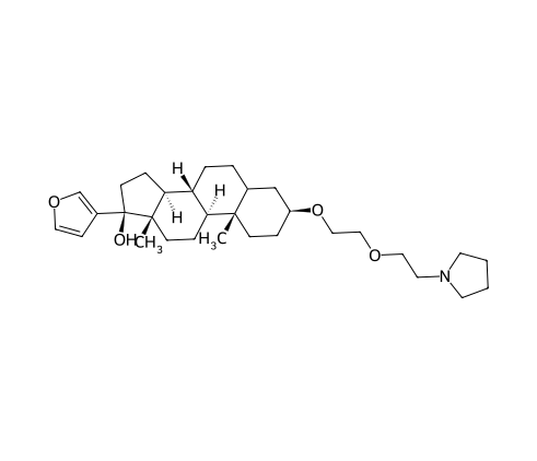 C[C@]12CC[C@H](OCCOCCN3CCCC3)CC1CC[C@@H]1[C@@H]2CC[C@@]2(C)[C@H]1CC[C@@]2(O)c1ccoc1